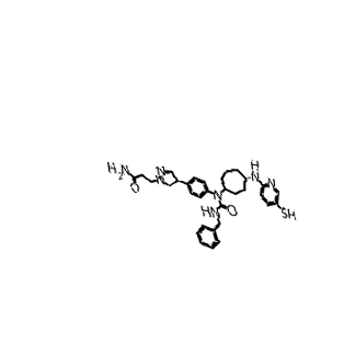 NC(=O)CCN1CC(c2ccc(N(C(=O)NCc3ccccc3)C3CCC[C@H](Nc4ccc(S)cn4)CC3)cc2)C=N1